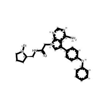 CCN1CCC[C@@H]1CNC(=O)Cn1cc(-c2ccc(Oc3ccccc3)cc2)c2c(N)ncnc21